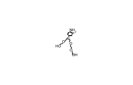 Cc1cc(N(CCOCCO)CCOCCOCCO)ccc1N